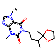 CCCn1cnc2c1c(=O)n(CCC(C)C1(C)OCCO1)c(=O)n2C